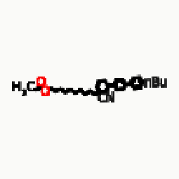 C=CC(=O)OCCCCCCCCCCC1(C#N)CCCC(c2ccc(-c3ccc(CCCC)cc3)cc2)C1